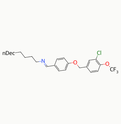 CCCCCCCCCCCCCC/N=C/c1ccc(OCc2ccc(OC(F)(F)F)c(Cl)c2)cc1